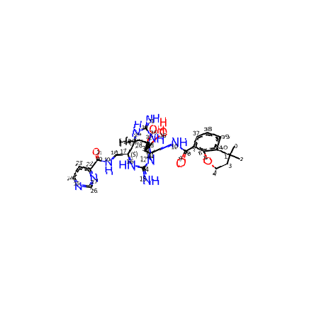 CC1(C)CCOc2c(C(=O)NC3CN4C(=N)N[C@@H](CNC(=O)c5ccncn5)[C@@H]5NC(=N)NC54C3(O)O)cccc21